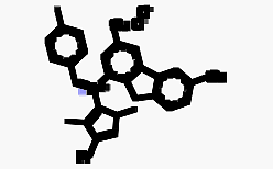 CC1=[C](/[Zr+2](=[CH]/c2ccc(C)cc2)[c]2cc(C(C)(C)C)cc3c2Cc2ccc(C(C)(C)C)cc2-3)C(C)C=C1C(C)C.[Cl-].[Cl-]